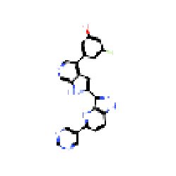 Oc1cc(F)cc(-c2cncc3[nH]c(-c4n[nH]c5ccc(-c6cncnc6)nc45)cc23)c1